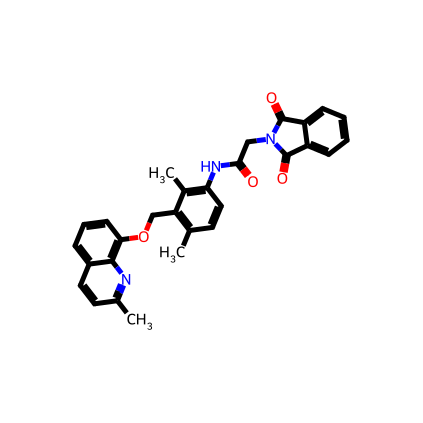 Cc1ccc2cccc(OCc3c(C)ccc(NC(=O)CN4C(=O)c5ccccc5C4=O)c3C)c2n1